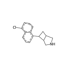 Clc1cccc2c(C3CC4CNCC43)cccc12